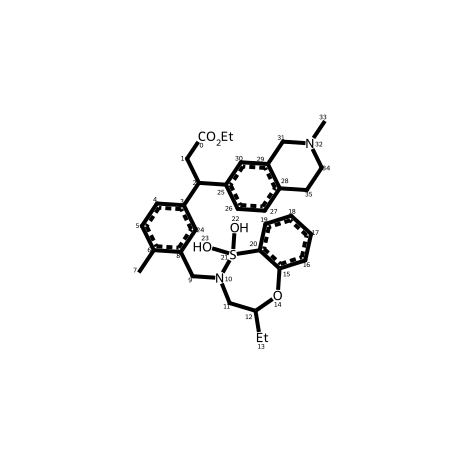 CCOC(=O)CC(c1ccc(C)c(CN2CC(CC)Oc3ccccc3S2(O)O)c1)c1ccc2c(c1)CN(C)CC2